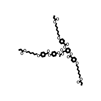 C=CC(=O)OCCCCCCCOc1ccc(C(=O)Oc2ccc(OC(=O)c3ccc(OCCCCCCCOC(=O)C=C)cc3)c(C(=O)OC(C)Oc3ccc(OC(=O)c4ccc(OCCCCCCOC(=O)C=C)cc4)cc3)c2)cc1